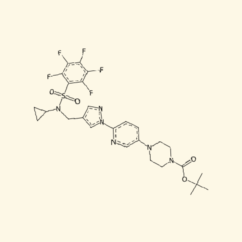 CC(C)(C)OC(=O)N1CCN(c2ccc(-n3cc(CN(C4CC4)S(=O)(=O)c4c(F)c(F)c(F)c(F)c4F)cn3)nc2)CC1